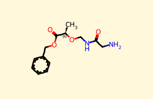 C[C@@H](OCNC(=O)CN)C(=O)OCc1ccccc1